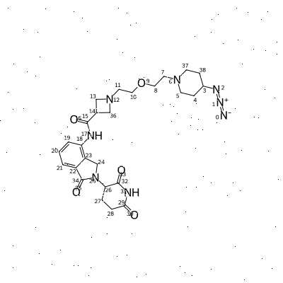 [N-]=[N+]=NC1CCN(CCOCCN2CC(C(=O)Nc3cccc4c3CN(C3CCC(=O)NC3=O)C4=O)C2)CC1